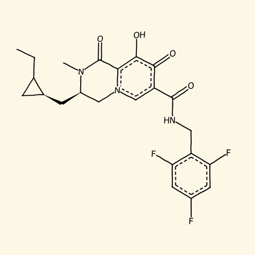 CCC1C[C@@H]1C[C@@H]1Cn2cc(C(=O)NCc3c(F)cc(F)cc3F)c(=O)c(O)c2C(=O)N1C